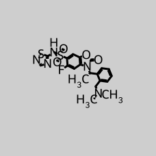 CC(c1ccccc1CN(C)C)n1c(=O)oc2cc(S(=O)(=O)Nc3ncns3)c(F)cc21